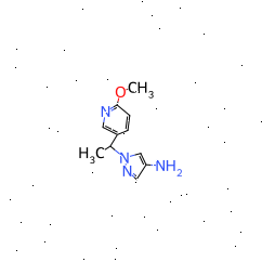 COc1ccc(C(C)n2cc(N)cn2)cn1